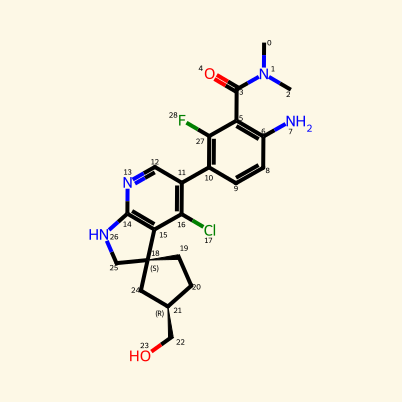 CN(C)C(=O)c1c(N)ccc(-c2cnc3c(c2Cl)[C@@]2(CC[C@@H](CO)C2)CN3)c1F